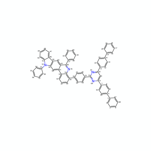 c1ccc(-c2ccc(-c3cc(-c4ccc(-c5ccccc5)cc4)nc(-c4ccc(-c5cccc6c5nc(-c5ccccc5)c5cc7c8ccccc8n(-c8ccccc8)c7cc56)cc4)n3)cc2)cc1